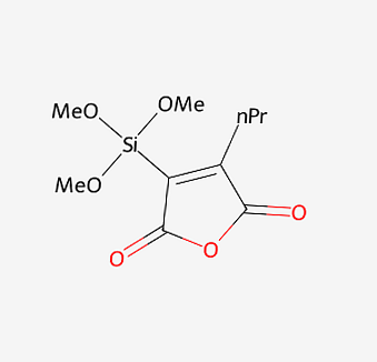 CCCC1=C([Si](OC)(OC)OC)C(=O)OC1=O